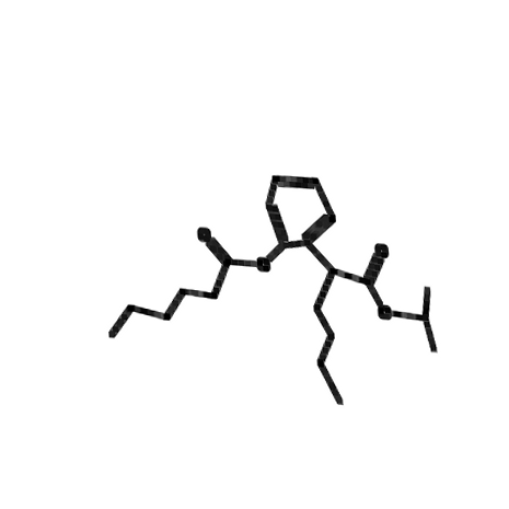 CCCCCC(=O)Oc1ccccc1C(CCCC)C(=O)OC(C)C